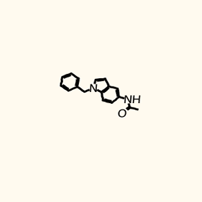 CC(=O)Nc1ccc2c(ccn2Cc2ccccc2)c1